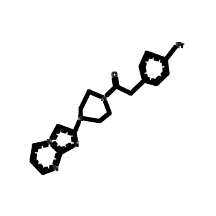 CC(C)c1ccc(CC(=O)N2CCN(c3cn4cccnc4n3)CC2)cc1